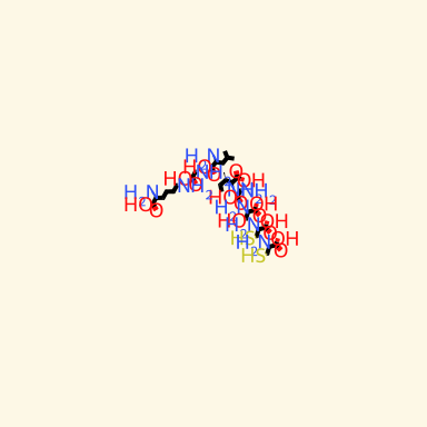 CC(C)C[C@H](N)C(=O)O.CC[C@H](C)[C@H](N)C(=O)O.NCC(=O)O.NCC(=O)O.NCCCC[C@H](N)C(=O)O.N[C@@H](CO)C(=O)O.N[C@@H](CS)C(=O)O.N[C@@H](CS)C(=O)O